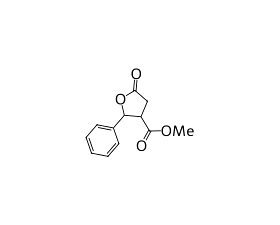 COC(=O)C1CC(=O)OC1c1ccccc1